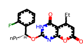 CCC[C@@H](Oc1nc2oc(=O)cc(CC)c2c(=O)[nH]1)c1ccccc1F